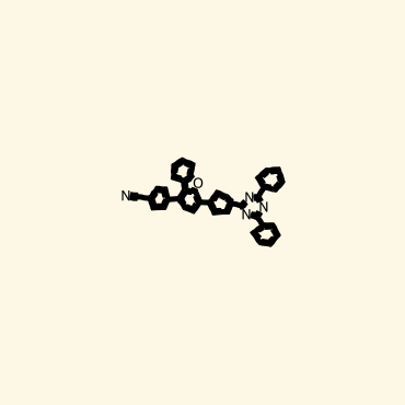 N#Cc1ccc(-c2ccc(-c3ccc(-c4nc(-c5ccccc5)nc(-c5ccccc5)n4)cc3)c3oc4ccccc4c23)cc1